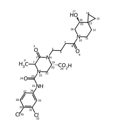 CC1C(=O)N(CCCC(=O)N2CCC3(CC3)[C@H](O)C2)[C@H](C(=O)O)CN1C(=O)Nc1ccc(Cl)c(Cl)c1